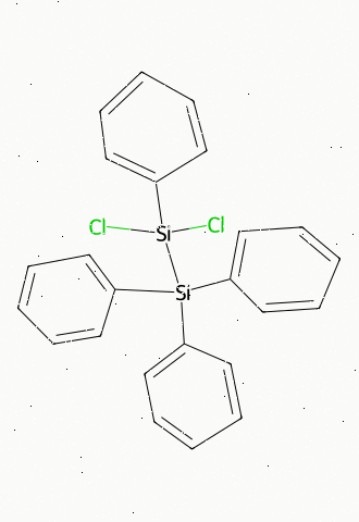 Cl[Si](Cl)(c1ccccc1)[Si](c1ccccc1)(c1ccccc1)c1ccccc1